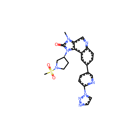 Cn1c(=O)n([C@H]2CCN(S(C)(=O)=O)C2)c2c3cc(-c4ccc(-n5ccnn5)nc4)ccc3ncc21